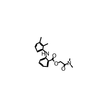 Cc1cccc(Nc2ccccc2C(=O)OCC(=O)N(C)C)c1C